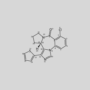 O=C1c2c(Cl)cccc2-n2cnc(-c3cccs3)c2[C@@H]2CCCN12